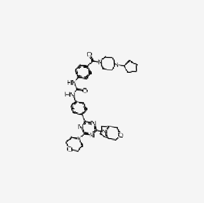 O=C(Nc1ccc(C(=O)N2CCN(C3CCCC3)CC2)cc1)Nc1ccc(-c2nc(N3CCOCC3)nc(N3C4CCC3COC4)n2)cc1